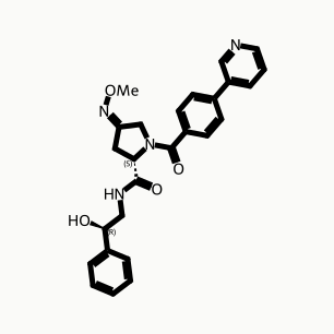 CON=C1C[C@@H](C(=O)NC[C@H](O)c2ccccc2)N(C(=O)c2ccc(-c3cccnc3)cc2)C1